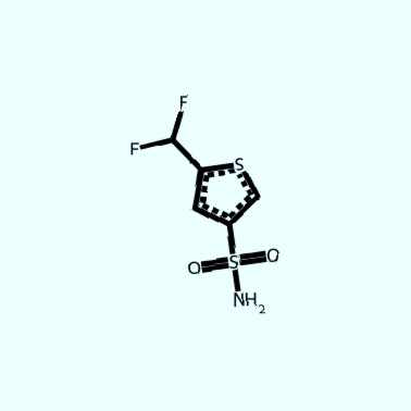 NS(=O)(=O)c1csc(C(F)F)c1